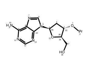 CC(C)O[C@H]1C[C@H](n2cnc3c(N)ncnc32)O[C@@H]1CO